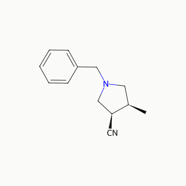 C[C@@H]1CN(Cc2ccccc2)C[C@@H]1C#N